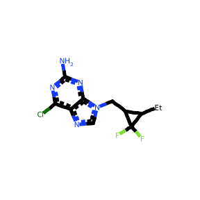 [CH2]CC1C(Cn2cnc3c(Cl)nc(N)nc32)C1(F)F